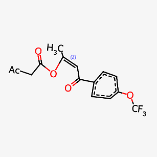 CC(=O)CC(=O)O/C(C)=C\C(=O)c1ccc(OC(F)(F)F)cc1